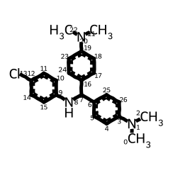 CN(C)c1ccc(C(Nc2ccc(Cl)cc2)c2ccc(N(C)C)cc2)cc1